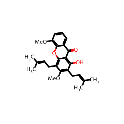 COc1c(CC=C(C)C)c(O)c2c(=O)c3cccc(OC)c3oc2c1CC=C(C)C